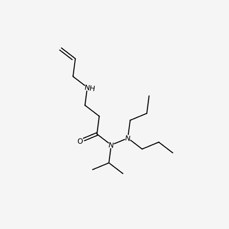 C=CCNCCC(=O)N(C(C)C)N(CCC)CCC